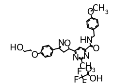 COc1ccc(CNC(=O)c2cc(C3CC(c4ccc(OCCO)cc4)=NO3)nc(C)n2)cc1.O=C(O)C(F)(F)F